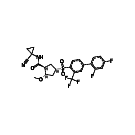 CO[C@H]1C[C@@H](S(=O)(=O)c2ccc(-c3ccc(F)cc3F)cc2C(F)(F)F)C[C@@H]1C(=O)NC1(C#N)CC1